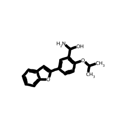 CC(C)Oc1ccc(-c2cc3ccccc3o2)cc1C(N)O